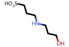 O=S(=O)(O)CCCNCCCO